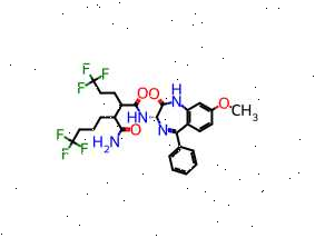 COc1ccc2c(c1)NC(=O)[C@@H](NC(=O)C(CCC(F)(F)F)C(CCCC(F)(F)F)C(N)=O)N=C2c1ccccc1